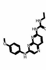 CCNC(=O)Nc1ccc2ncc(Nc3ccc(OC)cc3)nc2n1